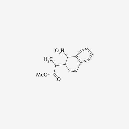 COC(=O)C(C)C1C=Cc2ccccc2C1[N+](=O)[O-]